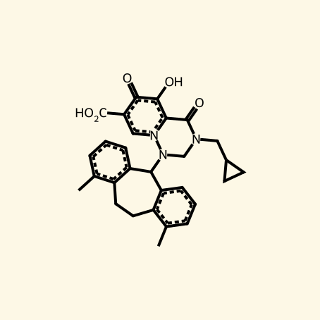 Cc1cccc2c1CCc1c(C)cccc1C2N1CN(CC2CC2)C(=O)c2c(O)c(=O)c(C(=O)O)cn21